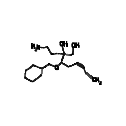 C=C/C=C\CC(OCC1CCCCC1)C(O)(CO)CCN